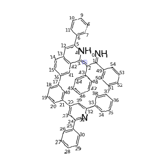 N=C(/C(=C1\NC(c2ccccc2)=Cc2ccc(-c3cccc(-c4cc(-c5ccccc5)nc(-c5ccccc5)c4)c3)cc21)c1ccccc1)c1ccccc1